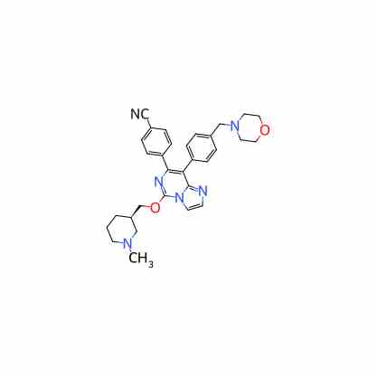 CN1CCC[C@@H](COc2nc(-c3ccc(C#N)cc3)c(-c3ccc(CN4CCOCC4)cc3)c3nccn23)C1